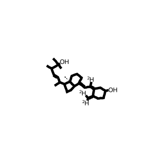 [2H]C([2H])=C1CCC(O)CC1=C([2H])C=C1CCC[C@@]2(C)C1CCC2C(C)C=CC(C)C(C)(C)O